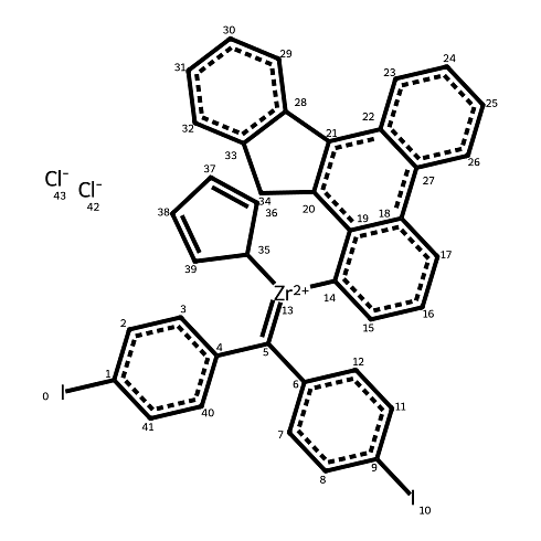 Ic1ccc([C](c2ccc(I)cc2)=[Zr+2]([c]2cccc3c2c2c(c4ccccc43)-c3ccccc3C2)[CH]2C=CC=C2)cc1.[Cl-].[Cl-]